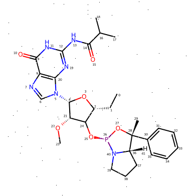 CC[C@H]1O[C@@H](n2cnc3c(=O)[nH]c(NC(=O)C(C)C)nc32)[C@@H](OC)C1O[P@@]1O[C@](C)(c2ccccc2)[C@@H]2CCCN21